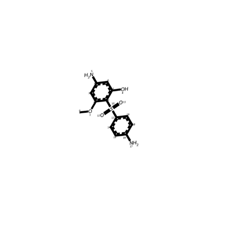 COc1cc(N)cc(O)c1S(=O)(=O)c1ccc(N)cc1